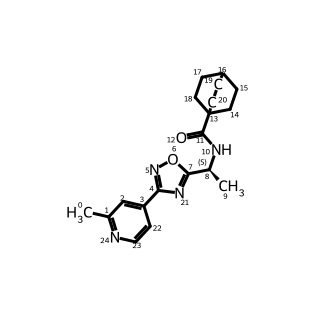 Cc1cc(-c2noc([C@H](C)NC(=O)C34CCC(CC3)CC4)n2)ccn1